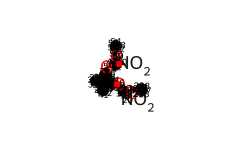 O=[N+]([O-])c1ccc(Oc2ccc(C3(c4ccc(Oc5ccc([N+](=O)[O-])c(OCc6ccccc6)c5)cc4)c4ccccc4-c4ccccc43)cc2)cc1OCc1ccccc1